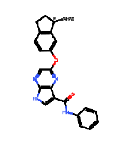 CC(=O)N[C@@H]1CCc2ccc(Oc3cnc4[nH]cc(C(=O)Nc5ccccc5)c4n3)cc21